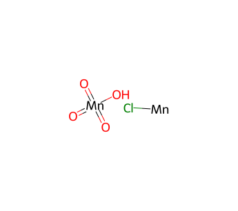 [Cl][Mn].[O]=[Mn](=[O])(=[O])[OH]